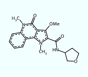 COc1c(C(=O)NC2CCOC2)n(C)c2c1c(=O)n(C)c1ccccc21